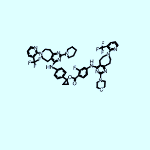 O=C(OC1(c2ccc(Nc3nc(N4CCCCC4)nc4c3CCN(c3ncccc3C(F)(F)F)CC4)cc2)CC1)c1ccc(Nc2nc(N3CCOCC3)nc3c2CCN(c2ncccc2C(F)(F)F)CC3)cc1F